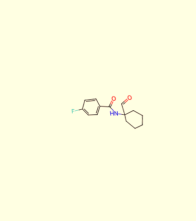 O=CC1(NC(=O)c2ccc(F)cc2)CCCCC1